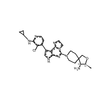 C[C@@H]1OCC2(CCN(c3nc4[nH]cc(-c5ccnc(NC6CC6)c5Cl)c4c4nccn34)CC2)[C@@H]1N